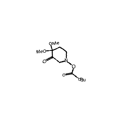 COC1(OC)CCN(OC(=O)C(C)(C)C)CC1=O